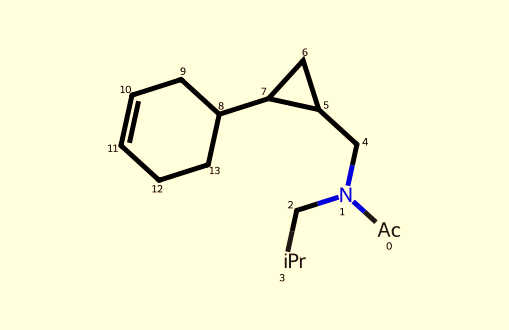 CC(=O)N(CC(C)C)CC1CC1C1CC=CCC1